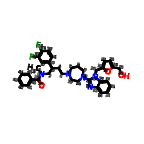 CN(CC(CCN1CCCN(c2nc3ccccc3n2Cc2ccc(CO)o2)CC1)c1ccc(F)c(F)c1)C(=O)c1ccccc1